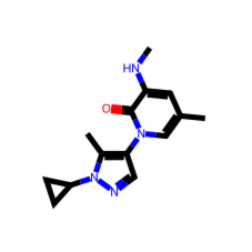 CNc1cc(C)cn(-c2cnn(C3CC3)c2C)c1=O